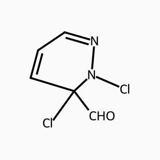 O=CC1(Cl)C=CC=NN1Cl